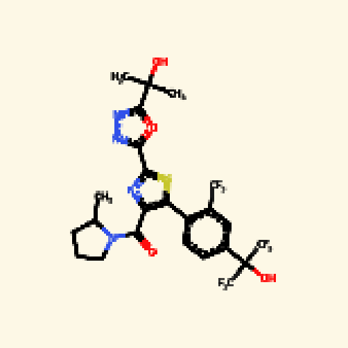 CC1CCCN1C(=O)c1nc(-c2nnc(C(C)(C)O)o2)sc1-c1ccc(C(O)(C(F)(F)F)C(F)(F)F)cc1C(F)(F)F